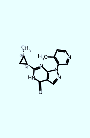 Cc1ccncc1-n1ncc2c(=O)[nH]c([C@H]3C[C@@H]3C)nc21